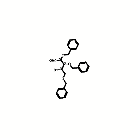 O=C[C@@H](OCc1ccccc1)[C@H](OCc1ccccc1)[C@@H](Br)COCc1ccccc1